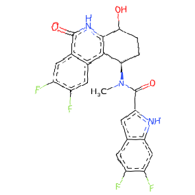 CN(C(=O)c1cc2cc(F)c(F)cc2[nH]1)[C@@H]1CCC(O)c2[nH]c(=O)c3cc(F)c(F)cc3c21